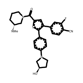 CN[C@@H]1CCCN(C(=O)c2cc(-c3ccc(C#N)c(F)c3)c(-c3ccc(N4CC[C@@H](O)C4)cc3)s2)C1